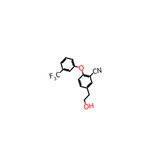 N#Cc1cc(CCO)ccc1Oc1cccc(C(F)(F)F)c1